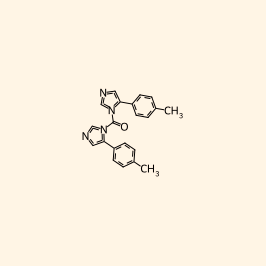 Cc1ccc(-c2cncn2C(=O)n2cncc2-c2ccc(C)cc2)cc1